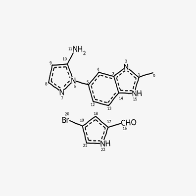 Cc1nc2cc(-n3nccc3N)ccc2[nH]1.O=Cc1cc(Br)c[nH]1